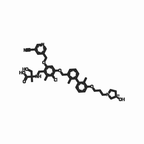 Cc1c(COc2cc(OCc3cncc(C#N)c3)c(CNC(C)(CO)C(=O)O)c(C)c2Cl)cccc1-c1cccc(OCCCN2CC[C@@H](O)C2)c1C